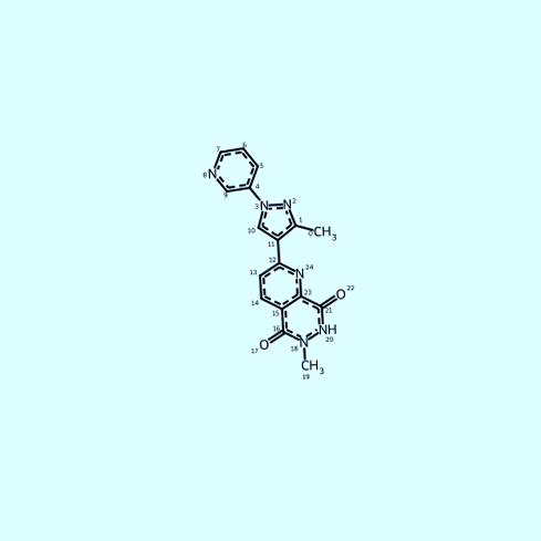 Cc1nn(-c2cccnc2)cc1-c1ccc2c(=O)n(C)[nH]c(=O)c2n1